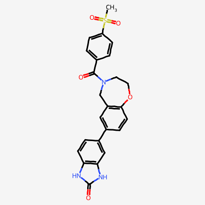 CS(=O)(=O)c1ccc(C(=O)N2CCOc3ccc(-c4ccc5[nH]c(=O)[nH]c5c4)cc3C2)cc1